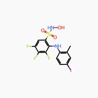 Cc1cc(I)ccc1Nc1c(S(=O)(=O)NO)cc(F)c(F)c1F